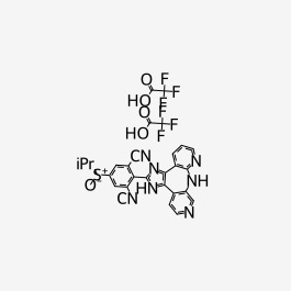 CC(C)[S+]([O-])c1cc(C#N)c(-c2nc3c([nH]2)-c2ccncc2Nc2ncccc2-3)c(C#N)c1.O=C(O)C(F)(F)F.O=C(O)C(F)(F)F